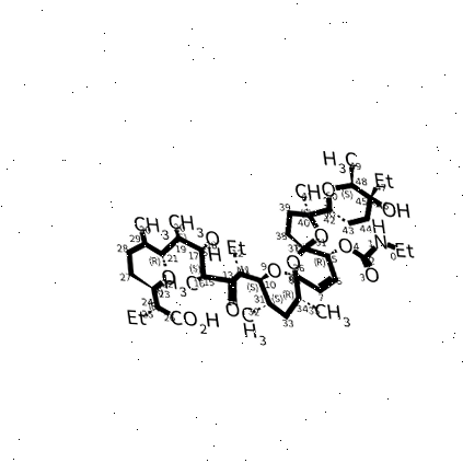 CCNC(=O)O[C@@H]1C=C[C@]2(O[C@H]([C@@H](CC)C(=O)[C@@H](C)[C@@H](O)[C@H](C)[C@@H]3O[C@@H]([C@@H](CC)C(=O)O)CCC3C)[C@@H](C)C[C@H]2C)O[C@@]12CC[C@@](C)([C@H]1CC[C@](O)(CC)[C@H](C)O1)O2